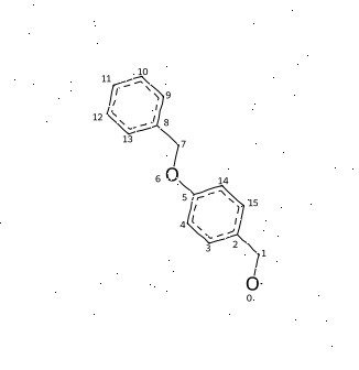 [O]Cc1ccc(OCc2ccccc2)cc1